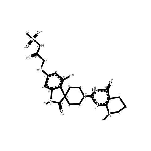 CN1CCCc2c1nc(N1CCC3(CC1)C(=O)N(C)c1cc(OCC(=O)NS(C)(=O)=O)cc(F)c13)[nH]c2=O